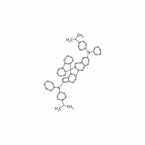 CC(C)c1ccc(N(c2ccccc2)c2ccc3cc4c(cc3c2)C2(c3ccccc3-c3ccccc32)c2c-4ccc3cc(N(c4ccccc4)c4ccc(C(C)C)cc4)ccc23)cc1